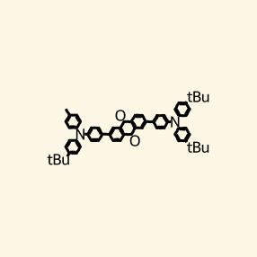 Cc1ccc(N(c2ccc(-c3ccc4c(c3)C(=O)c3ccc(-c5ccc(N(c6ccc(C(C)(C)C)cc6)c6ccc(C(C)(C)C)cc6)cc5)cc3C4=O)cc2)c2ccc(C(C)(C)C)cc2)cc1